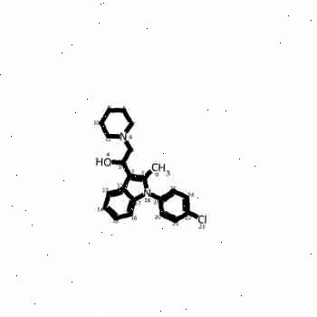 Cc1c(C(O)CN2CCCCC2)c2ccccc2n1-c1ccc(Cl)cc1